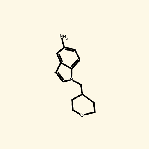 Nc1ccc2c([c]cn2CC2CCOCC2)c1